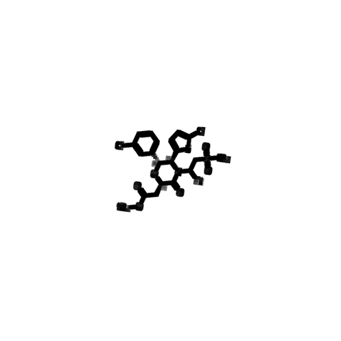 CCC(CS(=O)(=O)C(C)(C)C)N1C(=O)[C@@H](CC(=O)OC(C)(C)C)O[C@H](c2cccc(Cl)c2)[C@H]1c1ccc(Cl)s1